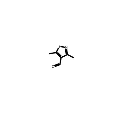 Cc1nsc(C)c1C=O